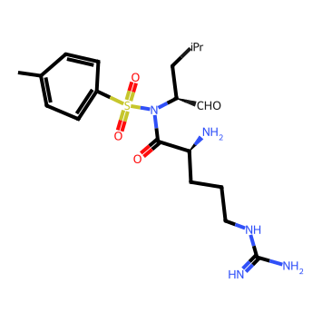 Cc1ccc(S(=O)(=O)N(C(=O)[C@@H](N)CCCNC(=N)N)[C@H](C=O)CC(C)C)cc1